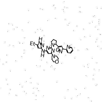 CCc1cc(Nc2cc(N3CCOCC3)nc(N3CCCC3c3cc(-c4ccccn4)no3)n2)n[nH]1